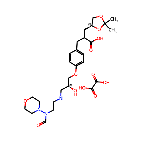 CC1(C)OC[C@H](CC(Cc2ccc(OC[C@@H](O)CNCCN(C=O)N3CCOCC3)cc2)C(=O)O)O1.O=C(O)C(=O)O